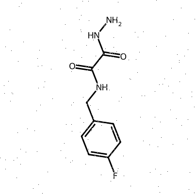 NNC(=O)C(=O)NCc1ccc(F)cc1